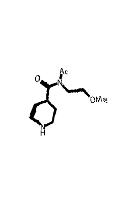 COCCN(C(C)=O)C(=O)C1CCNCC1